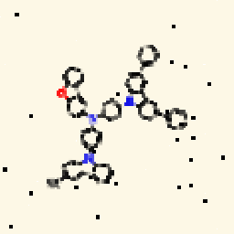 N#Cc1ccc2c(c1)c1ccccc1n2-c1ccc(N(c2ccc(-n3c4ccc(-c5ccccc5)cc4c4cc(-c5ccccc5)ccc43)cc2)c2ccc3oc4ccccc4c3c2)cc1